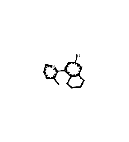 CCc1cc2c(c(-c3ncccc3C)c1)CCC[CH]2